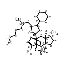 CCNCCCN(CC)CC1OC(C23C[C@@H]4[C@H](C)CC[C@H]4C4(C=O)CC2C=C(C(C)C)C34C(=O)O)CC1C1CCCCC1